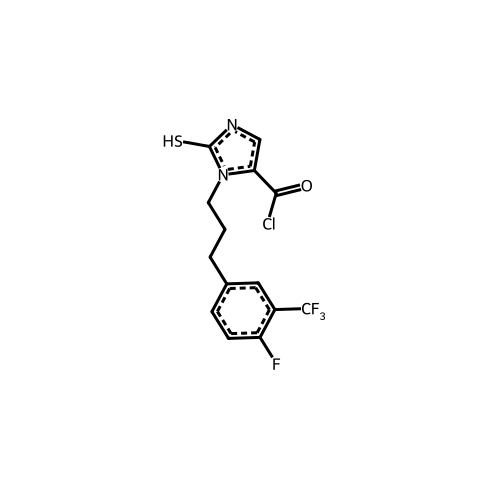 O=C(Cl)c1cnc(S)n1CCCc1ccc(F)c(C(F)(F)F)c1